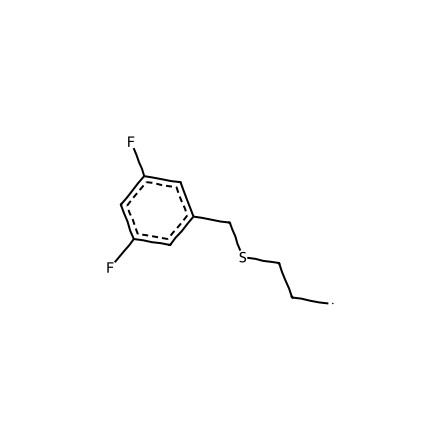 [CH2]CCSCc1cc(F)cc(F)c1